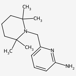 CC1(C)CCCC(C)(C)N1Cc1cccc(N)n1